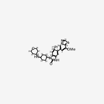 COc1cc(-c2cc3[nH]c(=O)n(C4CCC(NC5CCOCC5)CC4)c3cc2C(C)C)cn2ncnc12